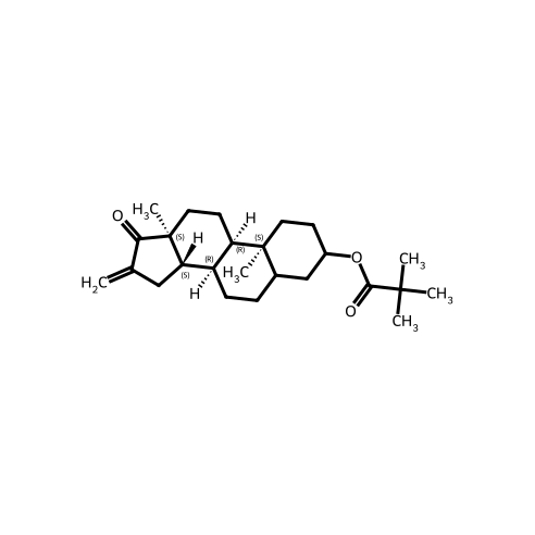 C=C1C[C@H]2[C@@H]3CCC4CC(OC(=O)C(C)(C)C)CC[C@]4(C)[C@@H]3CC[C@]2(C)C1=O